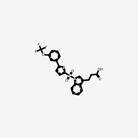 O=C(O)CCc1cn(S(=O)(=O)c2ccc(-c3cccc(OC(F)(F)F)c3)s2)c2ccccc12